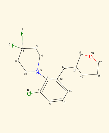 FC1(F)CCN(c2c(Cl)cccc2CC2CCCOC2)CC1